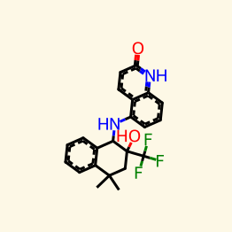 CC1(C)CC(O)(C(F)(F)F)C(Nc2cccc3[nH]c(=O)ccc23)c2ccccc21